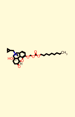 CCCCCCCCCOC(=O)OCOC1=C2O[C@H]3C(=O)CC[C@@]4(O)C5CC(C=C1)C2[C@@]34CCN5CC1CC1